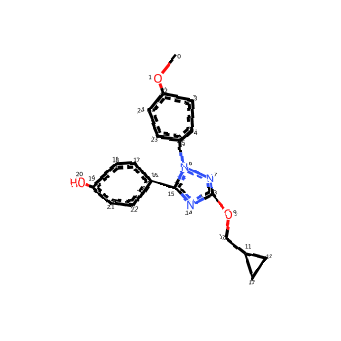 COc1ccc(-n2nc(OCC3CC3)nc2-c2ccc(O)cc2)cc1